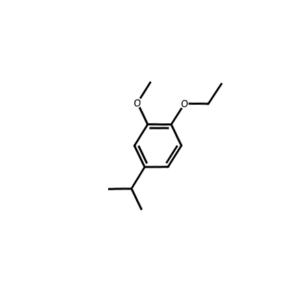 CCOc1ccc(C(C)C)cc1OC